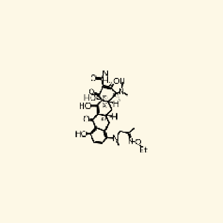 CCON=C(C)CN(C)c1ccc(O)c2c1C[C@H]1C[C@@H]3[C@@](O)(C(=O)C(C(N)=O)=C(O)[C@@]3(C)N(C)C)C(O)=C1C2=O